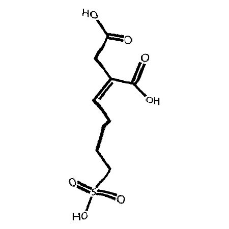 O=C(O)CC(=CCCCS(=O)(=O)O)C(=O)O